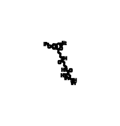 CCOC[C@@H]1C[C@@H](OC(C)C)CN1C(=O)CCCNC(=O)CCCNC(=O)[C@@H](CCNC(C)C)NC(C)C